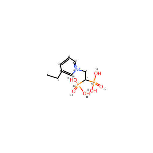 CCc1ccc[n+](CC(P(=O)(O)O)P(=O)(O)O)c1